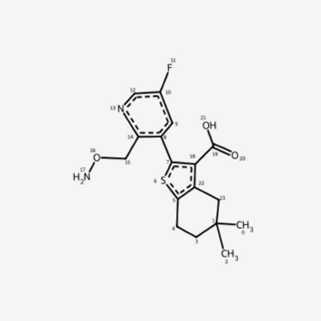 CC1(C)CCc2sc(-c3cc(F)cnc3CON)c(C(=O)O)c2C1